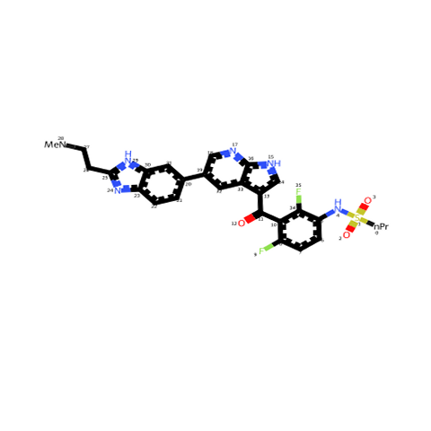 CCCS(=O)(=O)Nc1ccc(F)c(C(=O)c2c[nH]c3ncc(-c4ccc5nc(CCNC)[nH]c5c4)cc23)c1F